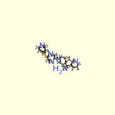 N[C@@H]1c2cccnc2CC12CCN(c1cnc(Sc3ccncc3)cn1)CC2